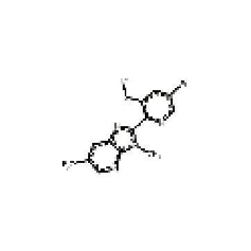 CCSc1cc(CC)cnc1-c1nc2cc(C(F)(F)F)cnc2n1C